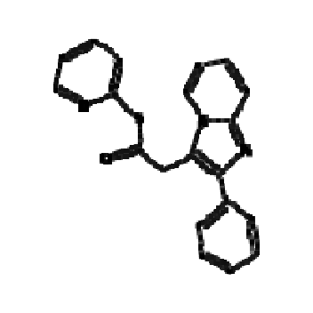 O=C(Cc1c(-c2ccccc2)nc2ccccn12)Sc1ccccn1